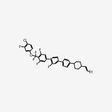 CC/C=C/C1CCC(c2ccc(-c3ccc(-c4cc(F)c(C(F)(F)Oc5ccc(Cl)c(F)c5)c(F)c4)c(F)c3)cc2)CC1